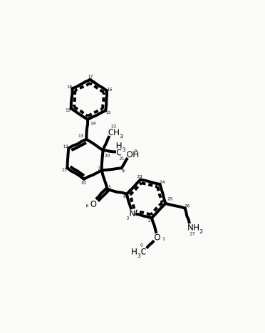 COc1nc(C(=O)C2(CO)C=CC=C(c3ccccc3)C2(C)C)ccc1CN